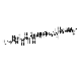 CNNNNNNNNNNNNNNNNNNNNNNNN